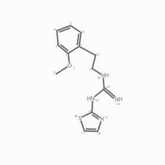 COc1ccccc1CCNC(=N)Nc1nccs1